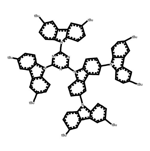 CC(C)(C)c1ccc2c(c1)c1cc(C(C)(C)C)ccc1n2-c1ccc2c(c1)c1cc(-n3c4ccc(C(C)(C)C)cc4c4cc(C(C)(C)C)ccc43)ccc1n2-c1nc(-n2c3ccc(C(C)(C)C)cc3c3cc(C(C)(C)C)ccc32)nc(-n2c3ccc(C(C)(C)C)cc3c3cc(C(C)(C)C)ccc32)n1